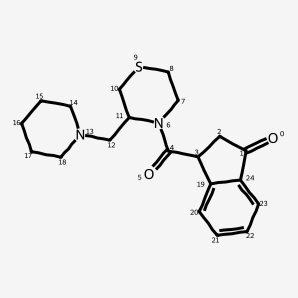 O=C1CC(C(=O)N2CCSCC2CN2CCCCC2)c2ccccc21